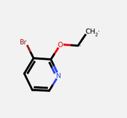 [CH2][CH]Oc1ncccc1Br